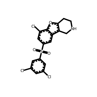 O=S(=O)(c1cc(Cl)cc(Cl)c1)c1cc(Cl)c2oc3c(c2c1)CNCC3